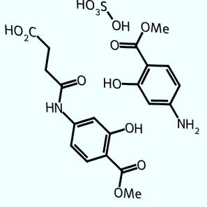 COC(=O)c1ccc(N)cc1O.COC(=O)c1ccc(NC(=O)CCC(=O)O)cc1O.O=S(=O)(O)O